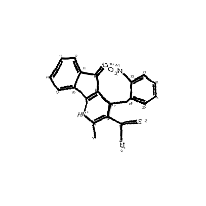 CCC(=S)C1=C(C)NC2=C(C(=O)c3ccccc32)C1c1ccccc1[N+](=O)[O-]